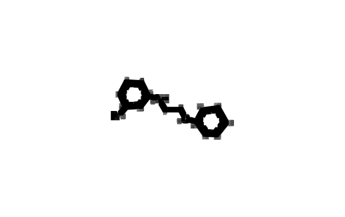 Brc1cccc(NCCOc2ccccc2)c1